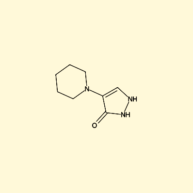 O=c1[nH][nH]cc1N1CCCCC1